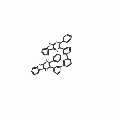 c1ccc(-c2nc3sc4ccccc4c3nc2-c2cccc(-c3cccc(-c4cccc(-c5nc6c(nc5-c5ccccc5)sc5ccccc56)c4)c3)c2)cc1